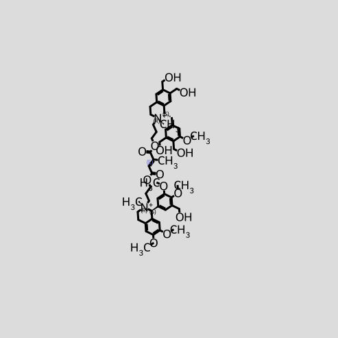 COc1cc2c(cc1OC)[C@H](c1cc(CO)c(OC)c(OC)c1)[N@@+](C)(CCCOC(=O)/C=C(\C)C(=O)OCCC[N@@+]1(C)CCc3cc(CO)c(CO)cc3[C@@H]1Cc1cc(CO)c(CO)c(OC)c1)CC2